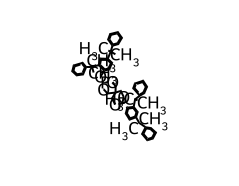 CC(C)(c1ccccc1)c1ccc(OP2OCC3(CO2)COP(c2ccc(C(C)(C)c4ccccc4)cc2C(C)(C)c2ccccc2)OC3)c(C(C)(C)c2ccccc2)c1